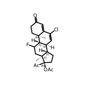 CC(=O)O[C@]1(C(C)=O)CC[C@H]2[C@@H]3C=C(Cl)C4=CC(=O)CC[C@]4(C)[C@H]3C(F)C[C@@]21C